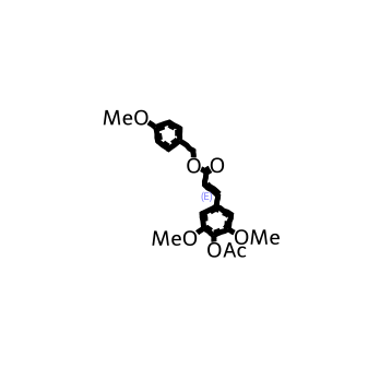 COc1ccc(COC(=O)/C=C/c2cc(OC)c(OC(C)=O)c(OC)c2)cc1